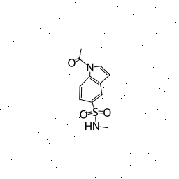 CNS(=O)(=O)c1ccc2c(ccn2C(C)=O)c1